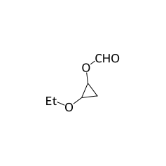 CCOC1CC1OC=O